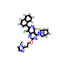 Cn1ccnc1CCOc1nc(N2CC3CCC(C2)N3)c2cnc(-c3cccc4ccccc34)c(F)c2n1